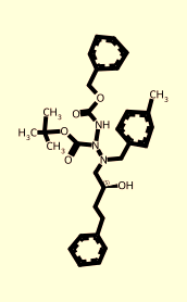 Cc1ccc(CN(C[C@@H](O)CCc2ccccc2)N(NC(=O)OCc2ccccc2)C(=O)OC(C)(C)C)cc1